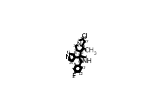 CC1=C(c2c[nH]c(-c3ccc(F)cc3)c2-c2ccncc2)CCN2CC(Cl)CC12